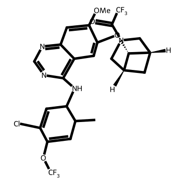 COc1cc2ncnc(NC3C=C(Cl)C(OC(F)(F)F)=CC3C)c2cc1O[C@H]1[C@@H]2C[C@H]1CN(C(=O)C(F)(F)F)C2